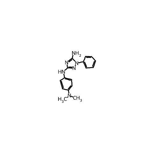 CN(C)c1ccc(Nc2nc(N)n(-c3ccccc3)n2)cc1